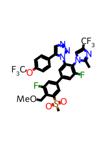 COCc1c(F)cc(-c2cc(F)c(-n3cc(C(F)(F)F)nc3C)c(-n3nncc3-c3ccc(OC(F)(F)F)cc3)c2)cc1S(C)(=O)=O